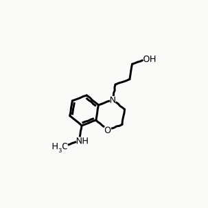 CNc1cccc2c1OCCN2CCCO